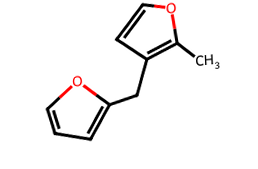 Cc1occc1Cc1ccco1